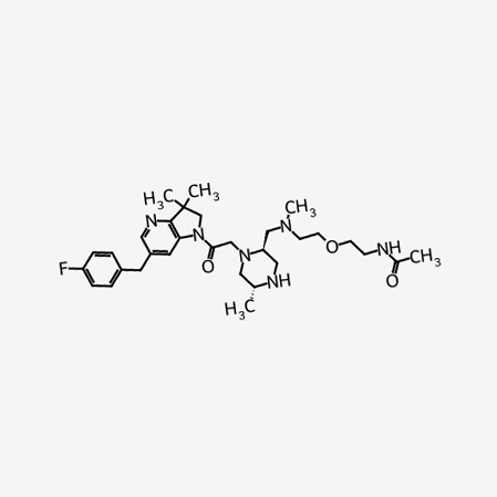 CC(=O)NCCOCCN(C)C[C@H]1CN[C@H](C)CN1CC(=O)N1CC(C)(C)c2ncc(Cc3ccc(F)cc3)cc21